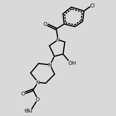 CC(C)(C)OC(=O)N1CCN(C2CN(C(=O)c3ccc(Cl)cc3)CC2O)CC1